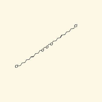 ClCCCCCC=CCCCOCOCOCCCC=CCCCCCCl